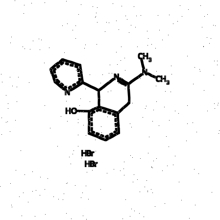 Br.Br.CN(C)C1=NC(c2ccccn2)c2c(O)cccc2C1